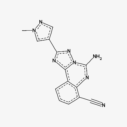 Cn1cc(-c2nc3c4cccc(C#N)c4nc(N)n3n2)cn1